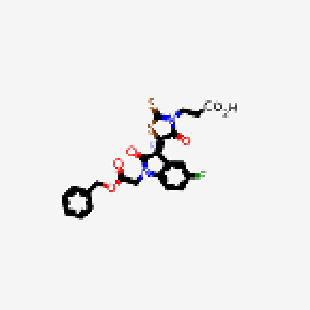 O=C(O)CCN1C(=O)/C(=C2/C(=O)N(CC(=O)OCc3ccccc3)c3ccc(F)cc32)SC1=S